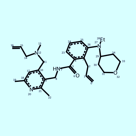 C=CCc1c(C(=O)NCc2c(CN(C)CC=C)cc(C)nc2C)cccc1N(CC)C1CCOCC1